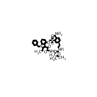 CCc1c(C(=O)C(N)=O)c2c(OCS(=O)(=O)c3cc(CCNC(=O)OC(C)(C)C)ccc3C(N)=O)cccc2n1Cc1ccccc1